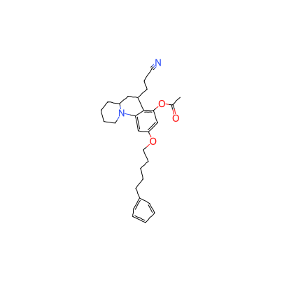 CC(=O)Oc1cc(OCCCCCc2ccccc2)cc2c1C(CCC#N)CC1CCCCN21